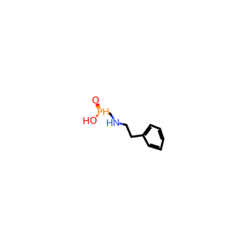 O=[PH](O)CNCCc1ccccc1